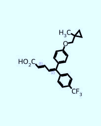 CC1(COc2ccc(/C(=C\C=C\C(=O)O)c3ccc(C(F)(F)F)cc3)cc2)CC1